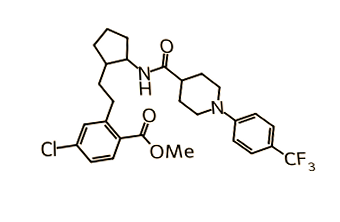 COC(=O)c1ccc(Cl)cc1CCC1CCCC1NC(=O)C1CCN(c2ccc(C(F)(F)F)cc2)CC1